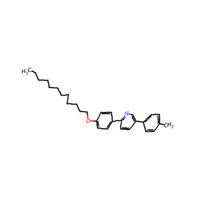 CCCCCCCCCCCCOc1ccc(-c2ccc(-c3ccc(C)cc3)cn2)cc1